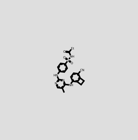 CCC(=O)NS(=O)(=O)c1ccc(Nc2ncc(C)c(Nc3ccc(C#N)c4c3CC4)n2)cc1